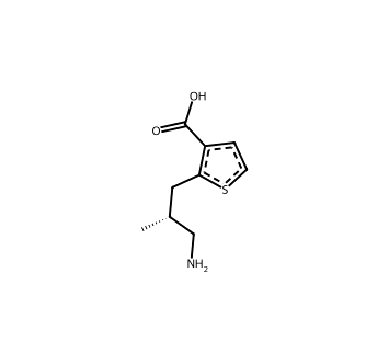 C[C@@H](CN)Cc1sccc1C(=O)O